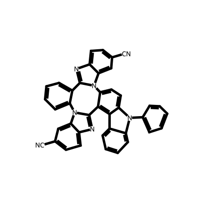 N#Cc1ccc2nc3c4ccccc4n4c5cc(C#N)ccc5nc4c4c5c6ccccc6n(-c6ccccc6)c5ccc4n3c2c1